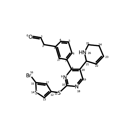 O=CCc1cccc(-c2nc(Sc3csc(Br)c3)ncc2C2C=CCCN2)c1